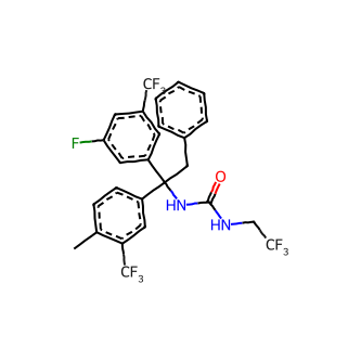 Cc1ccc(C(Cc2ccccc2)(NC(=O)NCC(F)(F)F)c2cc(F)cc(C(F)(F)F)c2)cc1C(F)(F)F